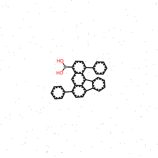 OB(O)c1ccc(-c2ccccc2)c2c3c4c(ccc(-c5ccccc5)c4cc12)-c1ccccc1-3